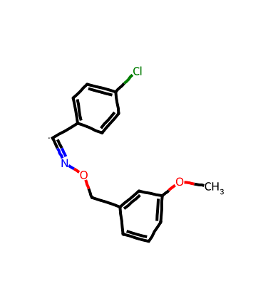 COc1cccc(CO/N=[C]\c2ccc(Cl)cc2)c1